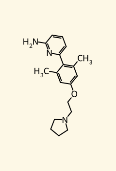 Cc1cc(OCCN2CCCC2)cc(C)c1-c1cccc(N)n1